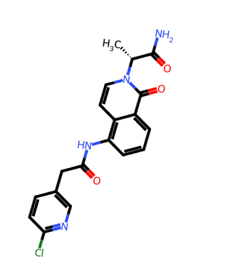 C[C@H](C(N)=O)n1ccc2c(NC(=O)Cc3ccc(Cl)nc3)cccc2c1=O